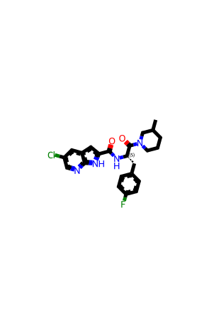 CC1CCCN(C(=O)[C@H](Cc2ccc(F)cc2)NC(=O)c2cc3cc(Cl)cnc3[nH]2)C1